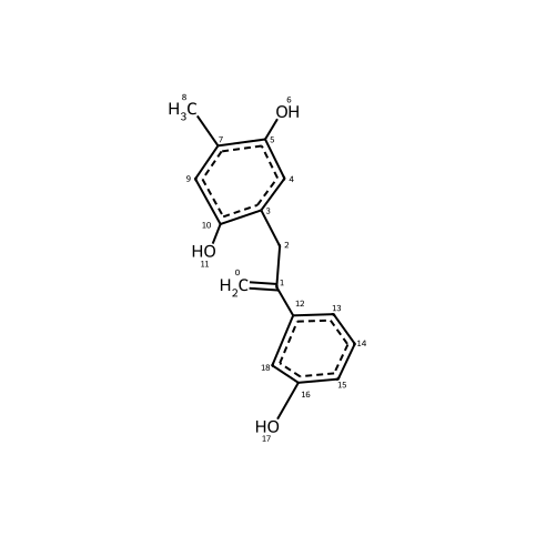 C=C(Cc1cc(O)c(C)cc1O)c1cccc(O)c1